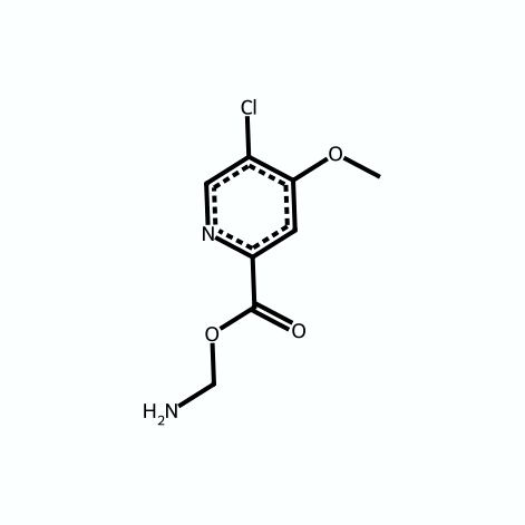 COc1cc(C(=O)OCN)ncc1Cl